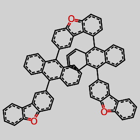 C1=C=Cc2c(c(-c3ccc4oc5ccccc5c4c3)c3ccccc3c2-c2cccc3oc4ccc(-c5c6ccccc6c(-c6ccc7oc8ccccc8c7c6)c6ccccc56)cc4c23)C=1